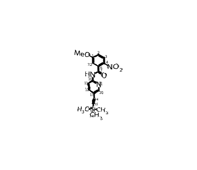 COc1ccc([N+](=O)[O-])c(C(=O)Nc2ccc(C#C[Si](C)(C)C)cn2)c1